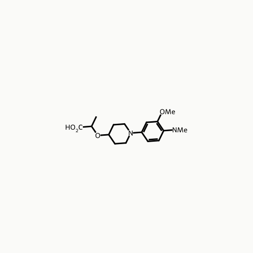 CNc1ccc(N2CCC(OC(C)C(=O)O)CC2)cc1OC